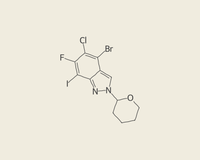 Fc1c(Cl)c(Br)c2cn(C3CCCCO3)nc2c1I